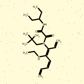 C=C/C=C\C(BCC)=C(/C=C)N(CC(C)(C)C)C(=O)C(=O)NC(CC)CC